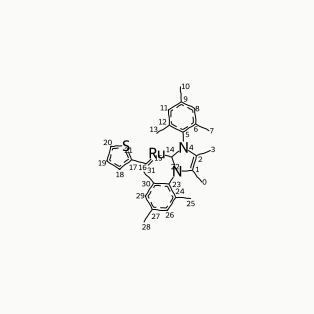 CC1=C(C)N(c2c(C)cc(C)cc2C)[CH]([Ru]=[CH]c2cccs2)N1c1c(C)cc(C)cc1C